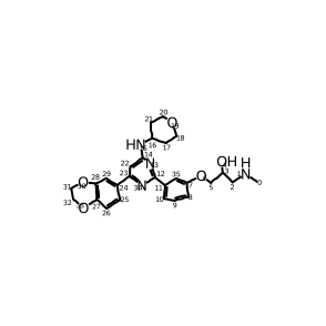 CNCC(O)COc1cccc(-c2nc(NC3CCOCC3)cc(-c3ccc4c(c3)OCCO4)n2)c1